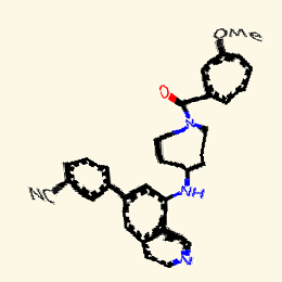 COc1cccc(C(=O)N2CCC(Nc3cc(-c4cccc(C#N)c4)cc4ccncc34)CC2)c1